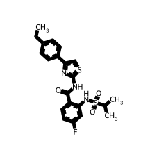 CCc1ccc(-c2csc(NC(=O)c3ccc(F)cc3NS(=O)(=O)C(C)C)n2)cc1